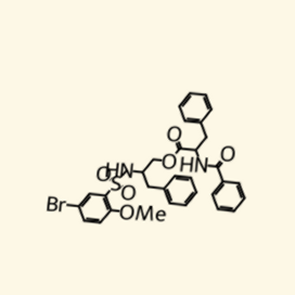 COc1ccc(Br)cc1S(=O)(=O)NC(COC(=O)C(Cc1ccccc1)NC(=O)c1ccccc1)Cc1ccccc1